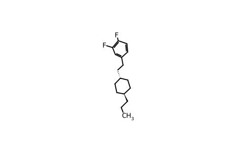 CCC[C@H]1CC[C@H](CCc2ccc(F)c(F)c2)CC1